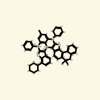 Cc1cc2c3c(c1)N(C1C=CC=CC1)c1oc4c5c(ccc4c1B3c1c(oc3c(C4CCCCC4)cccc13)N2c1ccccc1)C(C)(C)Cc1ccccc1-5